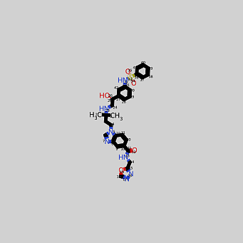 CC(C)(CCn1cnc2cc(C(=O)NCc3nnco3)ccc21)NC[C@H](O)c1cccc(NS(=O)(=O)c2ccccc2)c1